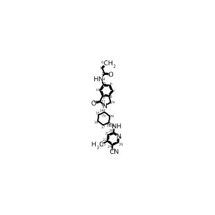 C=CC(=O)Nc1ccc2c(c1)C(=O)N([C@H]1CCC[C@@H](Nc3cc(C)c(C#N)cn3)C1)C2